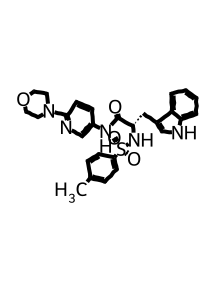 Cc1ccc(S(=O)(=O)N[C@@H](Cc2c[nH]c3ccccc23)C(=O)Nc2ccc(N3CCOCC3)nc2)cc1